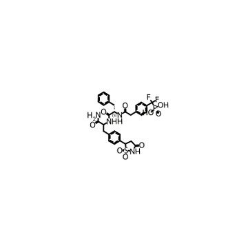 NC(=O)C(Cc1ccc(C2CC(=O)NS2(=O)=O)cc1)NC(=O)[C@H](Cc1ccccc1)NC(=O)Cc1ccc(C(F)(F)P(=O)(O)O)cc1